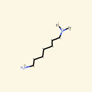 CCN(CC)CCCCCCCN